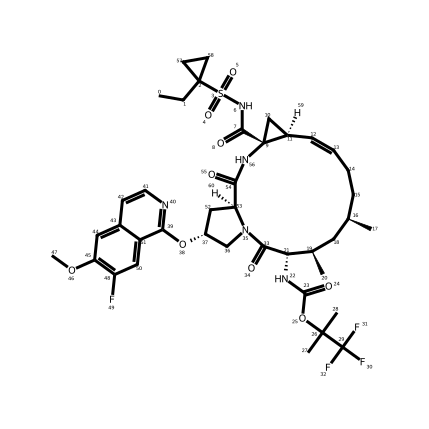 CCC1(S(=O)(=O)NC(=O)[C@@]23C[C@H]2/C=C\CC[C@@H](C)C[C@@H](C)[C@H](NC(=O)OC(C)(C)C(F)(F)F)C(=O)N2C[C@H](Oc4nccc5cc(OC)c(F)cc45)C[C@H]2C(=O)N3)CC1